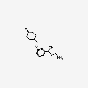 NCCC(O)c1cccc(OCC2CCC(=O)CC2)c1